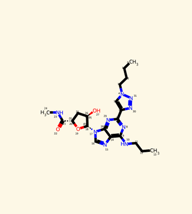 CCCCn1cc(-c2nc(NCCC)c3ncn([C@@H]4O[C@H](C(=O)NC)C[C@H]4O)c3n2)nn1